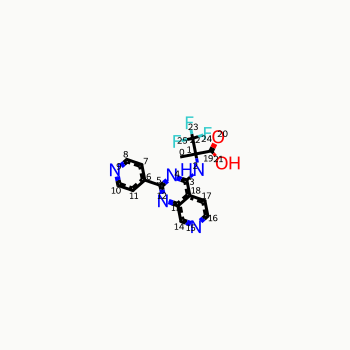 CC(Nc1nc(-c2ccncc2)nc2cnccc12)(C(=O)O)C(F)(F)F